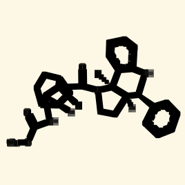 CC(C)(C)OC(=O)N[C@@H]1C2CCC(CC2)[C@@H]1C(=O)N1CC[C@@H]2[C@H](c3ccccc3)Nc3ccccc3[C@@H]21